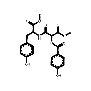 COC(=O)C(Cc1ccc(O)cc1)NC(=O)C(OC(=O)c1ccc(O)cc1)C(=O)OC